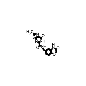 Cc1nc2c(=O)[nH]c(C(=O)NCc3ccc4c(c3)NC(=O)CO4)nc2s1